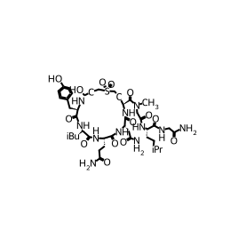 CC[C@H](C)[C@@H]1NC(=O)[C@@H](Cc2ccc(O)cc2)NC(O)CCS(=O)(=O)CC[C@@H](C(=O)N(C)CC(=O)N[C@@H](CCC(C)C)C(=O)NCC(N)=O)NC(=O)[C@H](CC(N)=O)NC(=O)[C@H](CCC(N)=O)NC1=O